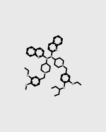 CCOc1cc(CN2CCC(N(c3ccc4ccccc4n3)N(c3ccc4ccccc4n3)C3CCN(Cc4ccc(OC(CC)CC)c(OCC)c4)CC3)CC2)ccc1OC